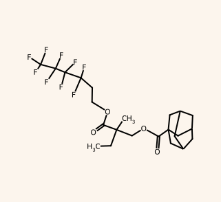 CCC(C)(COC(=O)C12CC3CC(CC(C3)C1)C2)C(=O)OCCC(F)(F)C(F)(F)C(F)(F)C(F)(F)F